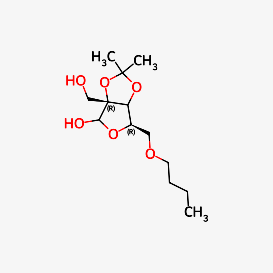 CCCCOC[C@H]1OC(O)[C@]2(CO)OC(C)(C)OC12